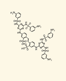 Nc1cccc(S(=O)(=O)Nc2nc(Nc3ccc(C=Cc4ccc(Nc5nc(NS(=O)(=O)c6cccc(N)c6)nc(NS(=O)(=O)c6cccc(N)c6)n5)cc4S(=O)(=O)O)c(S(=O)(=O)O)c3)nc(NS(=O)(=O)c3cccc(N)c3)n2)c1